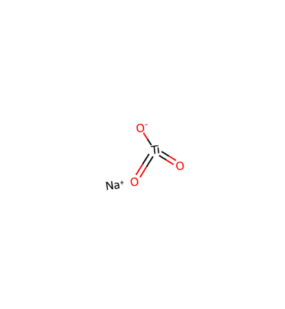 [Na+].[O]=[Ti](=[O])[O-]